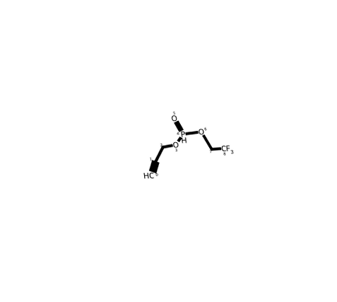 C#CCO[PH](=O)OCC(F)(F)F